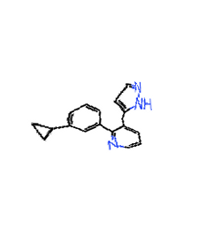 c1cc(-c2ncccc2-c2ccn[nH]2)cc(C2CC2)c1